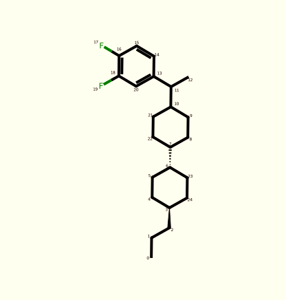 CCC[C@H]1CC[C@H](C2CCC(C(C)c3ccc(F)c(F)c3)CC2)CC1